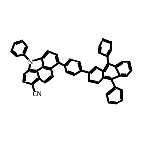 N#Cc1ccc2c3c1ccc1c(-c4ccc(-c5ccc6c(-c7ccccc7)c7ccccc7c(-c7ccccc7)c6c5)cc4)ccc(c13)n2-c1ccccc1